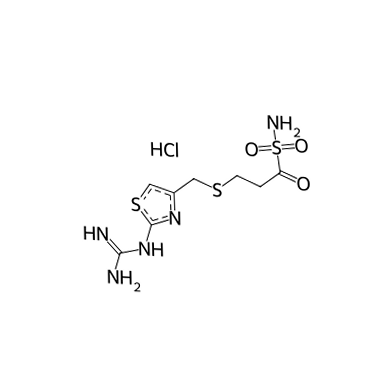 Cl.N=C(N)Nc1nc(CSCCC(=O)S(N)(=O)=O)cs1